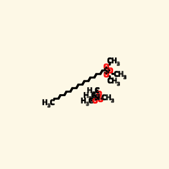 CCCCCCCCCCCCCCCCCC[Si](OCC)(OCC)OCC.CO[Si](C)(OC)OC